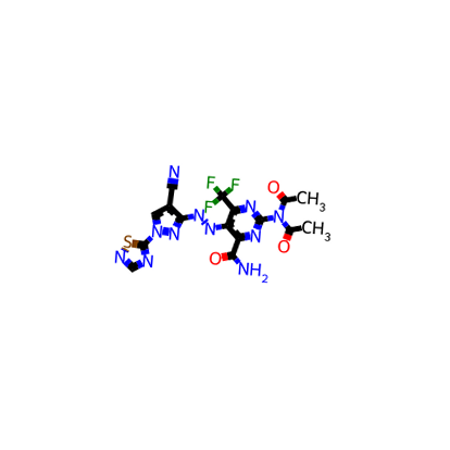 CC(=O)N(C(C)=O)c1nc(C(N)=O)c(N=Nc2nn(-c3ncns3)cc2C#N)c(C(F)(F)F)n1